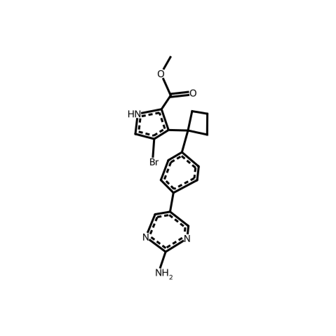 COC(=O)c1[nH]cc(Br)c1C1(c2ccc(-c3cnc(N)nc3)cc2)CCC1